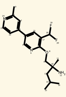 Cc1cc(-c2cnc(OC[C@](C)(N)CC(C)C)c(C(F)F)c2)ccn1